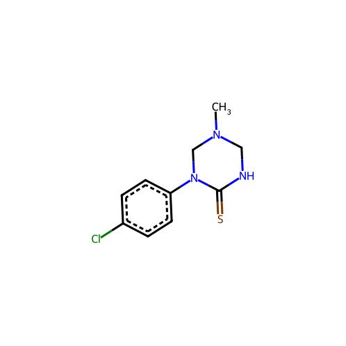 CN1CNC(=S)N(c2ccc(Cl)cc2)C1